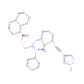 C[C@H](NC(=O)c1cccc2ccccc12)c1nc2cccc(C#Cc3cnn(C)c3)c2c(=O)n1-c1ccccc1